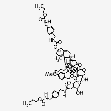 C=CCOC(=O)NCc1ccc(CNC(=O)CC2C(O)COC(OC3C(O)COC(O[C@H]4C[C@H]5[C@@H]6CC=C7C[C@@H](OC(=O)NCc8ccc(CNC(=O)OCC=C)cc8)CC[C@]7(C)C6CC[C@]5(C)[C@@]4(O)[C@H](C)C(=O)CCC(C)C)C3OC(C)=O)C2OC(=O)c2ccc(OC)cc2)cc1